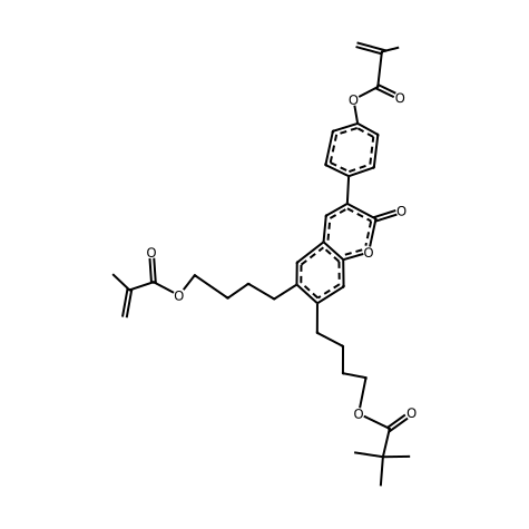 C=C(C)C(=O)OCCCCc1cc2cc(-c3ccc(OC(=O)C(=C)C)cc3)c(=O)oc2cc1CCCCOC(=O)C(C)(C)C